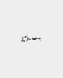 BrC#Cc1ccsc1